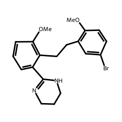 COc1ccc(Br)cc1CCc1c(OC)cccc1C1=NCCCN1